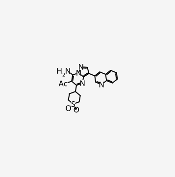 CC(=O)c1c(C2CCS(=O)(=O)CC2)nc2c(-c3cnc4ccccc4c3)cnn2c1N